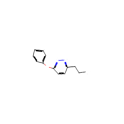 O=CCCc1ccc(Oc2ccccc2)nn1